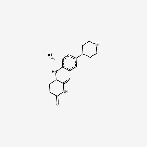 Cl.Cl.O=C1CCC(Nc2ccc(N3CCNCC3)cc2)C(=O)N1